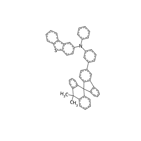 CC1(C)c2ccccc2C2(c3ccccc3-c3cc(-c4cccc(N(c5ccccc5)c5ccc6sc7ccccc7c6c5)c4)ccc32)c2ccccc21